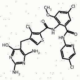 COc1cc(Cl)cc(C(=O)Nc2ccc(Cl)cn2)c1NC(=O)c1scc(Cc2c(N)nc(N)nc2O)c1Cl